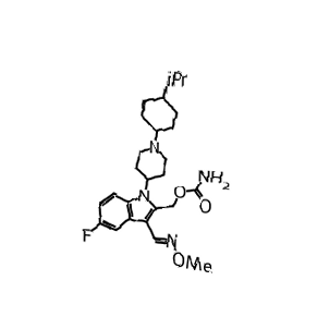 CON=Cc1c(COC(N)=O)n(C2CCN(C3CCC(C(C)C)CC3)CC2)c2ccc(F)cc12